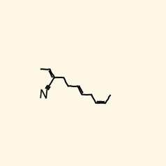 C/C=C\C/C=C/CC/C(C#N)=C/C